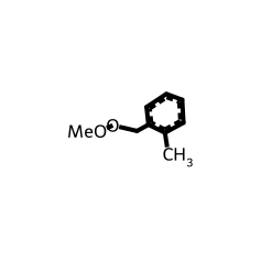 COOCc1ccccc1C